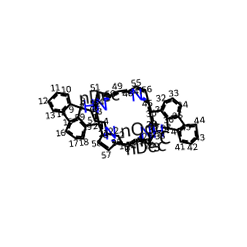 CCCCCCCCCCCCCCCCC1(CCCCCCCCCC)c2ccccc2-c2cccc(-c3c4nc(cc5ccc([nH]5)c(-c5cccc6c5C(C)(CCCCCCCC)c5ccccc5-6)c5nc(cc6ccc3[nH]6)C=C5)C=C4)c21